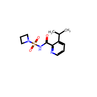 CC(C)c1cccnc1C(=O)NS(=O)(=O)N1CCC1